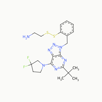 CC(C)(C)c1nc(N2CCC(F)(F)C2)c2nnn(Cc3ccccc3SSCCN)c2n1